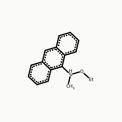 CCO[SiH](C)c1c2ccccc2cc2ccccc12